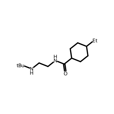 CCC1CCC(C(=O)NCCNC(C)(C)C)CC1